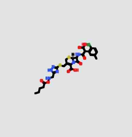 CCCCC(=O)ONCc1nc(SCC2=C(C(=O)O)N3C(=O)C(NC(=O)C(C(=O)O)c4cc(C)ccc4Cl)[C@@H]3SC2)n[nH]1